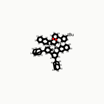 CC(C)(C)c1ccc(N2c3ccc4c(sc5cc6ccccc6cc54)c3B3c4c(cc5ccccc5c42)-c2cc(C45CC6CC(CC(C6)C4)C5)cc4c5cc(C67CC8CC(CC(C8)C6)C7)ccc5n3c24)c(-c2ccccc2)c1